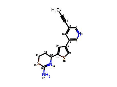 CC#Cc1cncc(-c2csc(C3CCSC(N)=N3)c2)c1